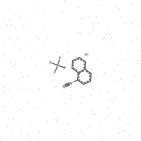 F[B-](F)(F)F.N#[N+]c1cccc2ccccc12.[H+]